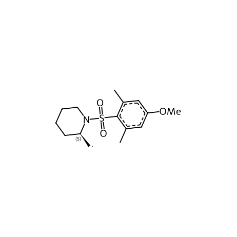 [CH2][C@H]1CCCCN1S(=O)(=O)c1c(C)cc(OC)cc1C